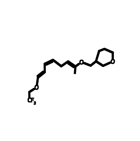 C/C(=C\C/C=C\C=C\OCC(F)(F)F)OCC1CCCOC1